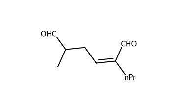 CCCC(C=O)=CCC(C)C=O